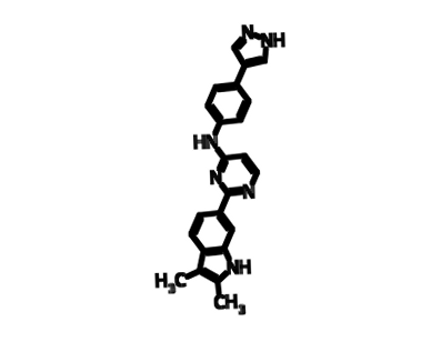 Cc1[nH]c2cc(-c3nccc(Nc4ccc(-c5cn[nH]c5)cc4)n3)ccc2c1C